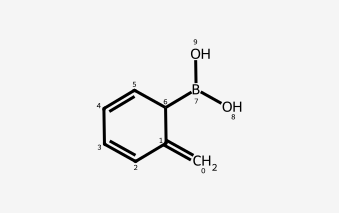 C=C1C=CC=CC1B(O)O